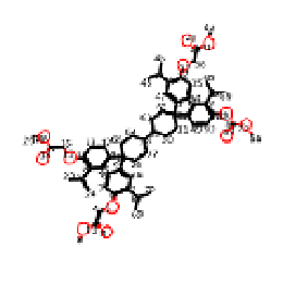 COC(=O)COc1ccc(C2(c3ccc(OCC(=O)OC)c(C(C)C)c3)CCC(C3CCC(c4ccc(OCC(=O)OC)c(C(C)C)c4)(c4ccc(OC(=O)OC)c(C(C)C)c4)CC3)CC2)cc1C(C)C